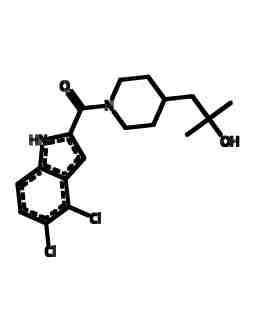 CC(C)(O)CC1CCN(C(=O)c2cc3c(Cl)c(Cl)ccc3[nH]2)CC1